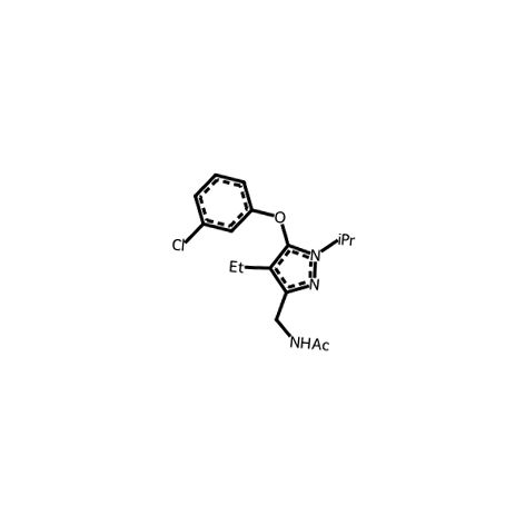 CCc1c(CNC(C)=O)nn(C(C)C)c1Oc1cccc(Cl)c1